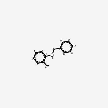 Fc1ccccc1OCc1c[c]ccc1